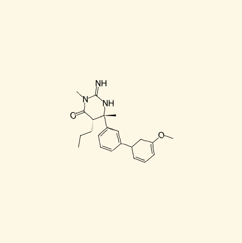 CCC[C@@H]1C(=O)N(C)C(=N)N[C@]1(C)c1cccc(C2C=CC=C(OC)C2)c1